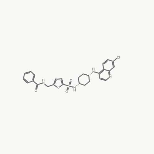 O=C(NCc1ccc(S(=O)(=O)N[C@H]2CC[C@@H](Nc3ccnc4cc(Cl)ccc34)CC2)s1)c1ccccc1